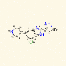 CC(C)C[C@@H](N)c1nc2cc(-c3ccncc3)ccc2[nH]1.Cl